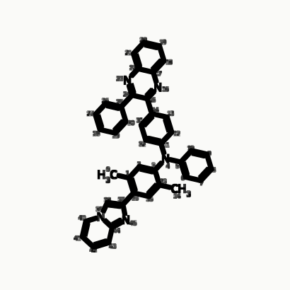 Cc1cc(N(c2ccccc2)c2ccc(-c3nc4ccccc4nc3-c3ccccc3)cc2)c(C)cc1-c1cn2ccccc2n1